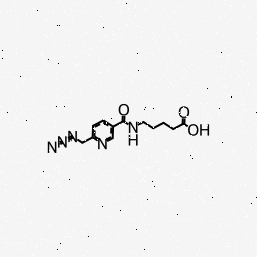 [N-]=[N+]=NCc1ccc(C(=O)NCCCCC(=O)O)cn1